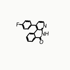 O=c1[nH]c2nccc(-c3ccc(F)cc3)c2c2ccccc12